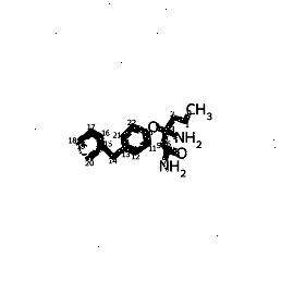 CCCC(N)(CC(N)=O)Oc1ccc(Cc2ccccc2)cc1